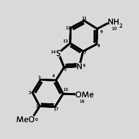 COc1ccc(-c2nc3cc(N)ccc3s2)c(OC)c1